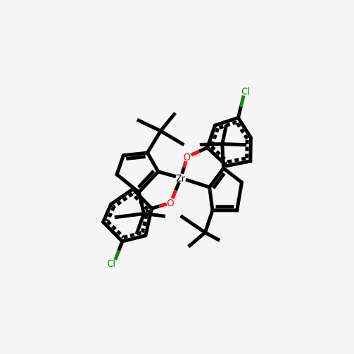 CC(C)(C)C1=CCC(C(C)(C)C)=[C]1[Zr]([O]c1cccc(Cl)c1)([O]c1cccc(Cl)c1)[C]1=C(C(C)(C)C)CC=C1C(C)(C)C